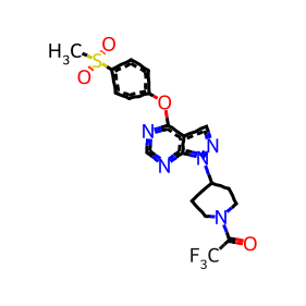 CS(=O)(=O)c1ccc(Oc2ncnc3c2cnn3C2CCN(C(=O)C(F)(F)F)CC2)cc1